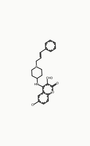 O=Cc1c(NC2CCN(CC=Cc3ccccc3)CC2)c2cc(Cl)ccc2oc1=O